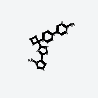 Cn1cncc1-c1nc(C2(c3ccc(-c4cnc(N)nc4)cc3)CCC2)no1